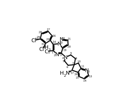 Cc1nc(N2CCC3(CC2)Cc2ncccc2[C@H]3N)c2ccnn2c1-c1cccc(Cl)c1Cl